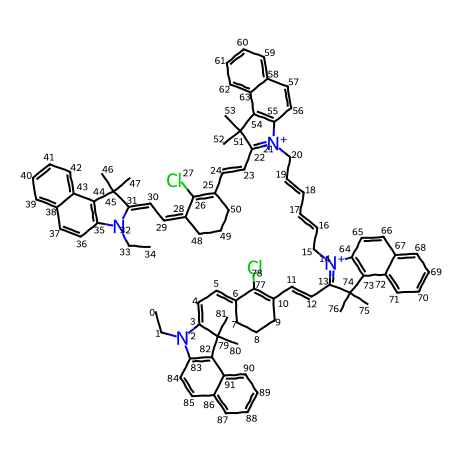 CCN1C(=CC=C2CCCC(C=CC3=[N+](CC=CC=CC[N+]4=C(C=CC5=C(Cl)C(=CC=C6N(CC)c7ccc8ccccc8c7C6(C)C)CCC5)C(C)(C)c5c4ccc4ccccc54)c4ccc5ccccc5c4C3(C)C)=C2Cl)C(C)(C)c2c1ccc1ccccc21